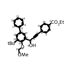 CCOC(=O)c1ccc(C#CC(O)c2cc(-c3ccccc3)cc(C(C)(C)C)c2OCOC)cc1